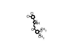 COc1ccc(C(=O)C=Cc2cc(-c3ccc(Cl)c(Cl)c3)n[nH]2)cc1OC